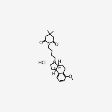 COc1cccc2c1CC[C@@H]1[C@H]2CCN1CCCCN1C(=O)CC(C)(C)CC1=O.Cl